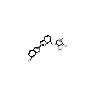 [CH2][C@@H]1C[C@@H](Nc2ccnc3cc(-c4cc5ccc(Cl)cc5s4)nn23)[C@H](O)[C@@H]1O